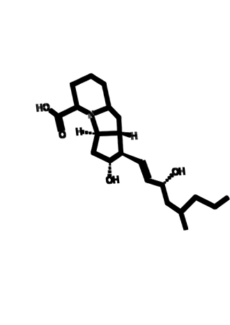 CCCC(C)C[C@@H](O)/C=C/[C@@H]1[C@H]2CC3CCCC(C(=O)O)N3[C@@H]2C[C@H]1O